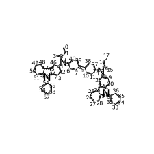 C=CC(=C)N(c1ccc(-c2ccc(N(/C(C)=C/C)c3ccc4c(c3)c3ccccc3n4-c3ccccc3)cc2)cc1)c1ccc2c(c1)c1ccccc1n2-c1ccccc1